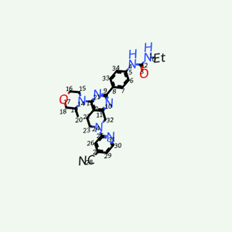 CCNC(=O)Nc1ccc(-c2nc3c(c(N4CCOCC4C)n2)CCN(c2cc(C#N)ccn2)C3)cc1